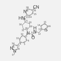 Cn1cc(-c2ccc(N(C(=O)NCc3cccs3)C3CCC(Nc4ccc(C#N)cn4)CC3)cc2)cn1